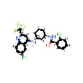 O=C(N[C@@H]1CCC[C@H](Nc2cc(C(F)(F)F)nc3ccc(Cl)cc23)C1)c1ccccc1Cl